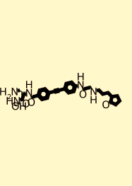 NC[C@H](NC(=O)c1ccc(C#Cc2ccc(NC(=O)CNCCCC3CCCC3=O)cc2)cc1)C(=O)NO